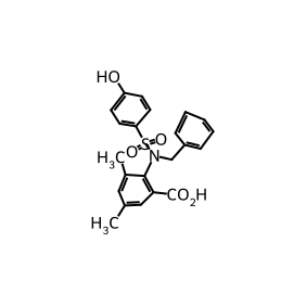 Cc1cc(C)c(N(Cc2ccccc2)S(=O)(=O)c2ccc(O)cc2)c(C(=O)O)c1